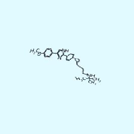 COc1ccc(-c2c[nH]c(-c3ccc(OCCCNC(C)(C)C)cc3)n2)cc1